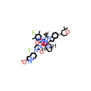 COc1cc2c(F)c(-n3ccn(-c4c5c(nn4-c4cc(C)c(F)c(C)c4)C[C@H]4CC[C@@H]5N4C(=O)c4cc5cc([C@H]6CCOC(C)(C)C6)ccc5n4[C@@]4(c5noc(=O)[nH]5)C[C@@H]4C)c3=O)ccn2n1